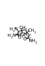 CC(C)(CC(N)=O)CC(C)(C)C(N)C(N)=O